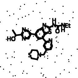 CCNC(=O)Nc1nc2cc(-c3cnc(C(C)O)nc3)cc(-c3cc(CN4CCSCC4)ccn3)c2s1